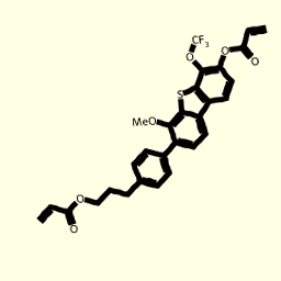 C=CC(=O)OCCCc1ccc(-c2ccc3c(sc4c(OC(F)(F)F)c(OC(=O)C=C)ccc43)c2OC)cc1